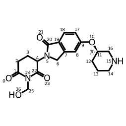 O=C1CCC(N2Cc3cc(O[C@@H]4CCCNC4)ccc3C2=O)C(=O)N1CO